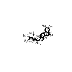 CC(C)[C@H](CO)[C@@H](O)[C@H](O)[C@@H](C)[C@H]1CC[C@H]2[C@@H]3CC(=O)[C@H]4C[C@H](O)[C@H](O)C[C@]4(C)[C@H]3CC[C@]12C